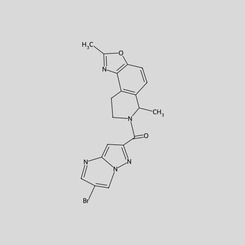 Cc1nc2c3c(ccc2o1)C(C)N(C(=O)c1cc2ncc(Br)cn2n1)CC3